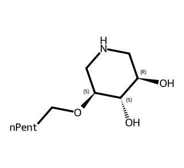 CCCCCCO[C@H]1CNC[C@@H](O)[C@@H]1O